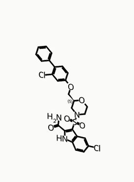 NC(=O)c1[nH]c2ccc(Cl)cc2c1S(=O)(=O)N1CCO[C@H](COc2ccc(-c3ccccc3)c(Cl)c2)C1